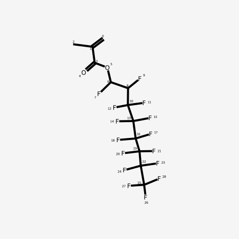 C=C(C)C(=O)OC(F)C(F)C(F)(F)C(F)(F)C(F)(F)C(F)(F)C(F)(F)C(F)(F)F